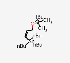 CCC[CH2][Sn](/[CH]=C\CO[Si](C)(C)C(C)(C)C)([CH2]CCC)[CH2]CCC